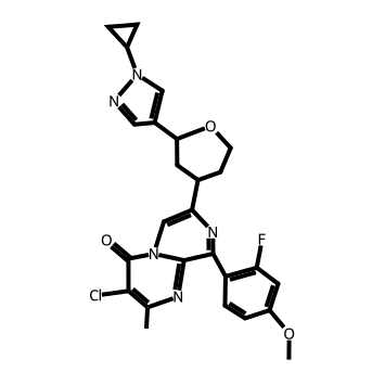 COc1ccc(-c2nc(C3CCOC(c4cnn(C5CC5)c4)C3)cn3c(=O)c(Cl)c(C)nc23)c(F)c1